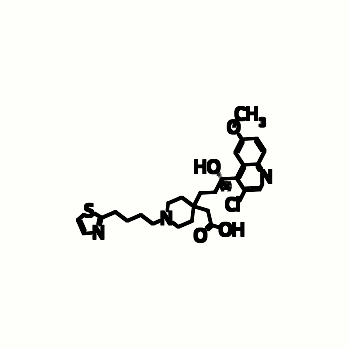 COc1ccc2ncc(Cl)c([C@@H](O)CCC3(CC(=O)O)CCN(CCCCc4nccs4)CC3)c2c1